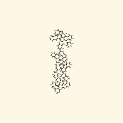 c1ccc2cc(N3c4cc5ccc(-c6ccc7c(c6)oc6cc8c9c(c67)N(c6ccc7ccccc7c6)c6ccc7cc(-c%10ccc%11oc%12c%13c%14c(cc%12c%11c%10)N(c%10cccc%11ccccc%10%11)c%10c(ccc%11ccccc%10%11)B%14n%10c%11ccccc%11c%11cccc-%13c%11%10)ccc7c6B9n6c7ccccc7c7cccc-8c76)cc5cc4B4c5c(cc6oc7ccccc7c6c53)-c3cccc5c6ccccc6n4c35)ccc2c1